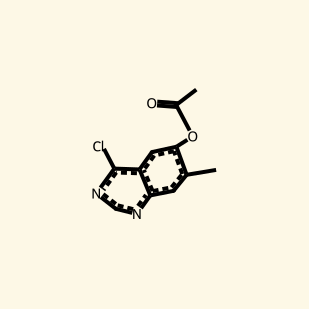 CC(=O)Oc1cc2c(Cl)ncnc2cc1C